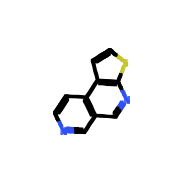 c1cc2c(cn1)cnc1sccc12